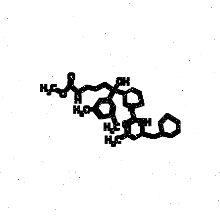 CNC[C@H](CC1CCCCC1)NC(=O)N1CCC[C@@H]([C@@](O)(CCCNC(=O)OC)c2cc(C)cc(C)c2)C1